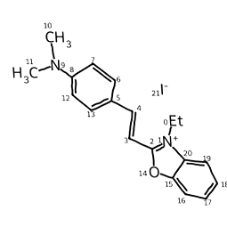 CC[n+]1c(/C=C/c2ccc(N(C)C)cc2)oc2ccccc21.[I-]